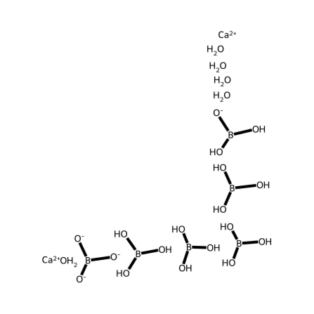 O.O.O.O.O.OB(O)O.OB(O)O.OB(O)O.OB(O)O.[Ca+2].[Ca+2].[O-]B(O)O.[O-]B([O-])[O-]